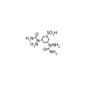 NC(=O)N(N)c1cc(N(N)C(N)=O)cc(S(=O)(=O)O)c1